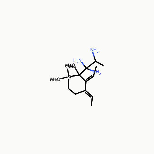 CC=C1CC[Si](OC)(OC)C(OC)(C(N)(N)C(C)N)C1=CC